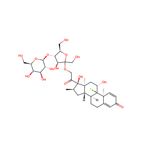 C[C@@H]1C[C@H]2[C@@H]3CCC4=CC(=O)C=C[C@]4(C)[C@@]3(F)[C@@H](O)C[C@]2(C)[C@@]1(O)C(=O)COC1(CO)O[C@H](CO)[C@@H](O[C@@H]2O[C@H](CO)[C@H](O)[C@H](O)[C@H]2O)[C@@H]1O